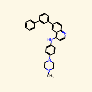 CN1CCN(c2ccc(Nc3ccnc4ccc(-c5cccc(-c6ccccc6)c5)cc34)cc2)CC1